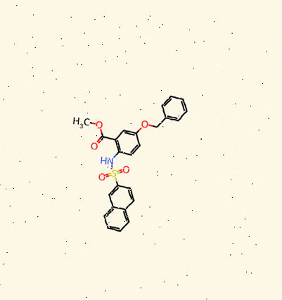 COC(=O)c1cc(OCc2ccccc2)ccc1NS(=O)(=O)c1ccc2ccccc2c1